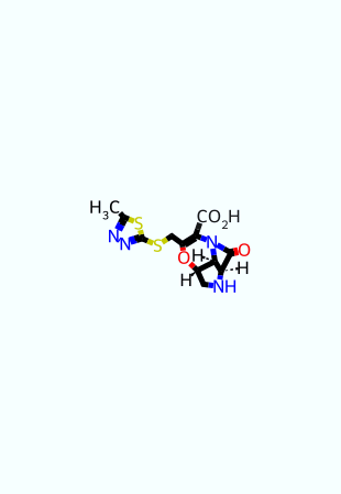 Cc1nnc(SCC2=C(C(=O)O)N3C(=O)[C@H]4NC[C@@H](O2)[C@H]43)s1